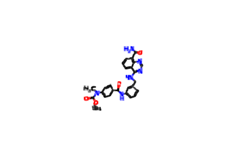 CN(C(=O)OC(C)(C)C)c1ccc(C(=O)Nc2cccc(CNc3ncnc4c(C(N)=O)cccc34)c2)cc1